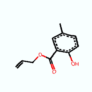 C=CCOC(=O)c1cc(C)ccc1O